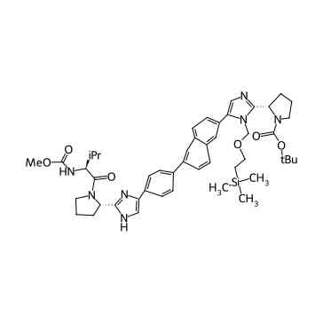 COC(=O)N[C@H](C(=O)N1CCC[C@H]1c1nc(-c2ccc(-c3ccc4cc(-c5cnc([C@@H]6CCCN6C(=O)OC(C)(C)C)n5COCC[Si](C)(C)C)ccc4c3)cc2)c[nH]1)C(C)C